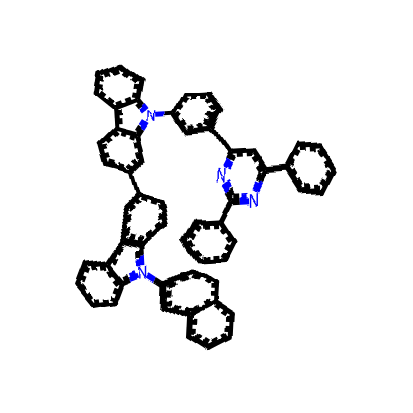 c1ccc(-c2cc(-c3cccc(-n4c5ccccc5c5ccc(-c6ccc7c(c6)c6ccccc6n7-c6ccc7ccccc7c6)cc54)c3)nc(-c3ccccc3)n2)cc1